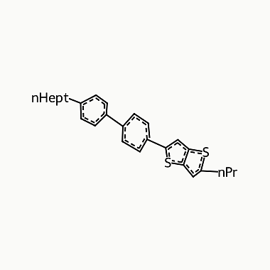 CCCCCCCc1ccc(-c2ccc(-c3cc4sc(CCC)cc4s3)cc2)cc1